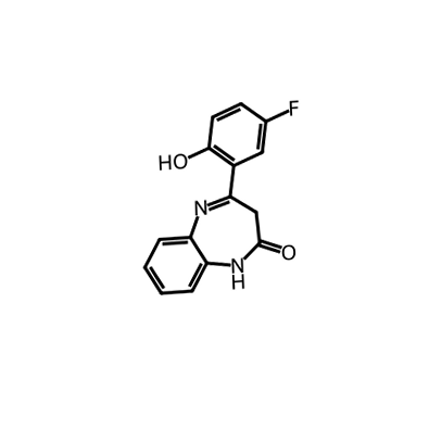 O=C1CC(c2cc(F)ccc2O)=Nc2ccccc2N1